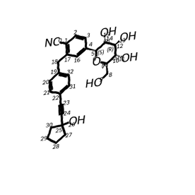 N#Cc1ccc([C@@H]2O[C@H](CO)[C@@H](O)[C@H](O)[C@H]2O)cc1Cc1ccc(C#CC2(O)CCCC2)cc1